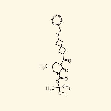 CC1CC(C(=O)C2CC3(CC(OCc4ccccc4)C3)C2)C(=O)N(C(=O)OC(C)(C)C)C1